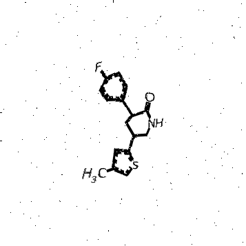 Cc1csc(C2CNC(=O)C(c3ccc(F)cc3)C2)c1